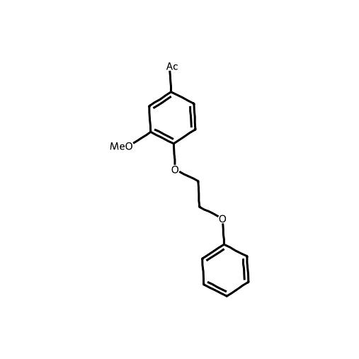 COc1cc(C(C)=O)ccc1OCCOc1ccccc1